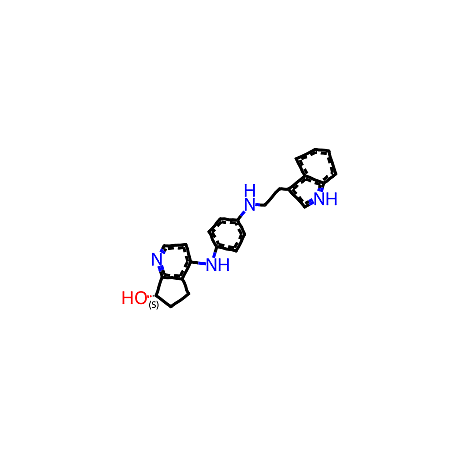 O[C@H]1CCc2c(Nc3ccc(NCCc4c[nH]c5ccccc45)cc3)ccnc21